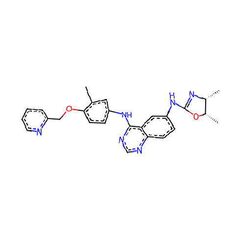 Cc1cc(Nc2ncnc3ccc(NC4=N[C@H](C)[C@H](C)O4)cc23)ccc1OCc1ccccn1